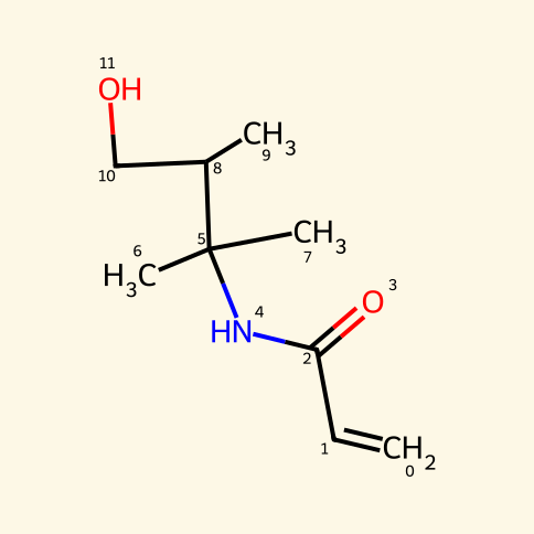 C=CC(=O)NC(C)(C)C(C)CO